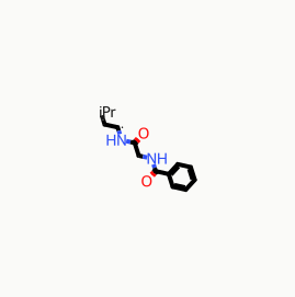 CC(C)C[CH]NC(=O)CNC(=O)c1ccccc1